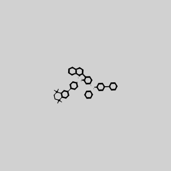 CC1(C)CCC(C)(C)c2cc(-c3ccc(-n4c5cc(N(c6ccccc6)c6ccc(-c7ccccc7)cc6)ccc5c5ccc6ccccc6c54)cc3)ccc21